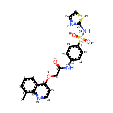 Cc1cccc2c(OCC(=O)Nc3ccc(S(=O)(=O)Nc4nccs4)cc3)ccnc12